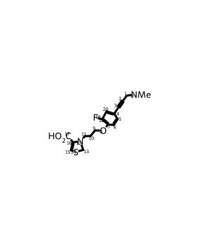 CNCC#Cc1ccc(OCCCN2CSC=C2C(=O)O)c(F)c1